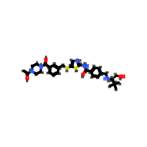 CC(=O)N1CCN(C(=O)c2cccc(CSc3cnc(NC(=O)c4ccc(CN[C@H](CO)C(C)(C)C)cc4)s3)c2)CC1